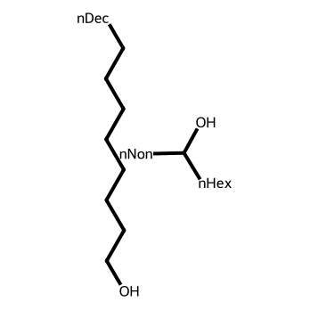 CCCCCCCCCC(O)CCCCCC.CCCCCCCCCCCCCCCCCCO